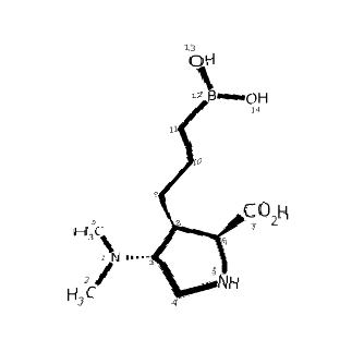 CN(C)[C@H]1CN[C@H](C(=O)O)[C@@H]1CCCB(O)O